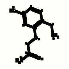 N#Cc1ccc(CN)c(OCC(N)=O)c1